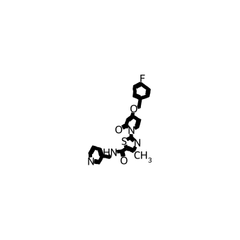 Cc1nc(-n2ccc(OCc3ccc(F)cc3)cc2=O)sc1C(=O)NCc1cccnc1